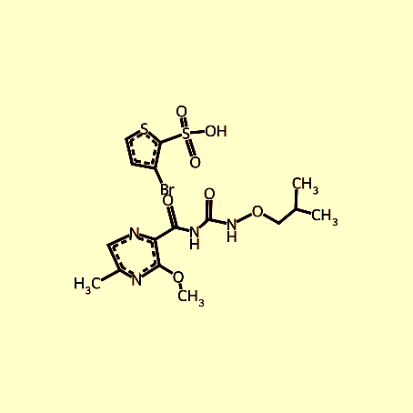 COc1nc(C)cnc1C(=O)NC(=O)NOCC(C)C.O=S(=O)(O)c1sccc1Br